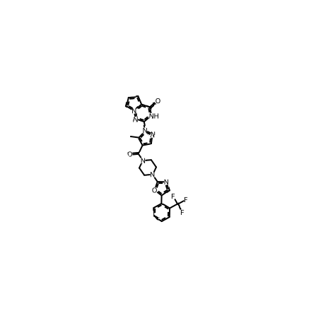 Cc1c(C(=O)N2CCN(c3ncc(-c4ccccc4C(F)(F)F)o3)CC2)cnn1-c1nn2cccc2c(=O)[nH]1